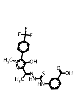 C/C(=N\NC(=S)Nc1cccc(C(=O)O)c1)c1nn(C)c(-c2ccc(C(F)(F)F)cc2)c1O